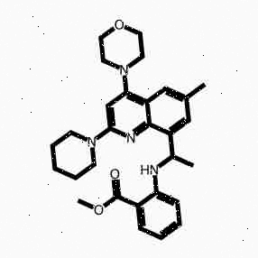 COC(=O)c1ccccc1NC(C)c1cc(C)cc2c(N3CCOCC3)cc(N3CCCCC3)nc12